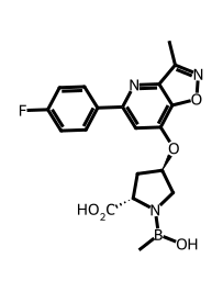 CB(O)N1C[C@H](Oc2cc(-c3ccc(F)cc3)nc3c(C)noc23)C[C@H]1C(=O)O